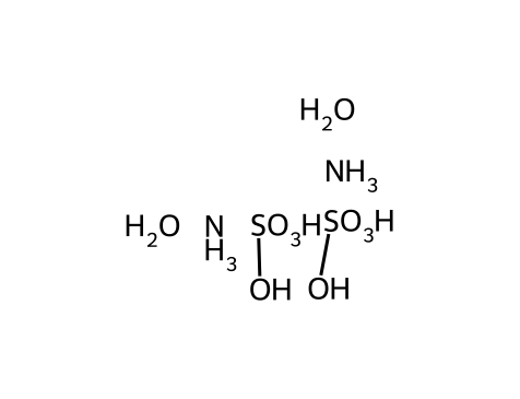 N.N.O.O.O=S(=O)(O)O.O=S(=O)(O)O